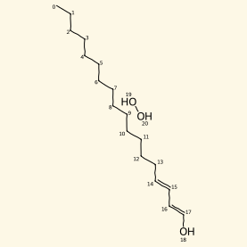 CCCCCCCCCCCCCCC=CC=CO.OO